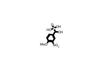 COc1ccc(C(O)P(=O)(O)O)cc1[N+](=O)[O-]